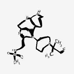 CC(C)(CF)N1CCC(n2c(CNS(C)(=O)=O)nc3cnc4[nH]ccc4c32)CC1